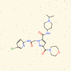 CC(C)N1CCC(NC(=O)c2cc(C(=O)N3CCCOCC3)nn2CC(=O)Nc2ccc(Cl)cn2)CC1